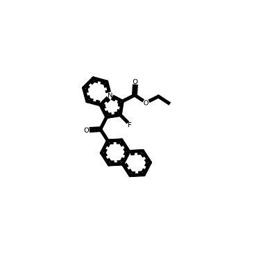 CCOC(=O)c1c(F)c(C(=O)c2ccc3ccccc3c2)c2ccccn12